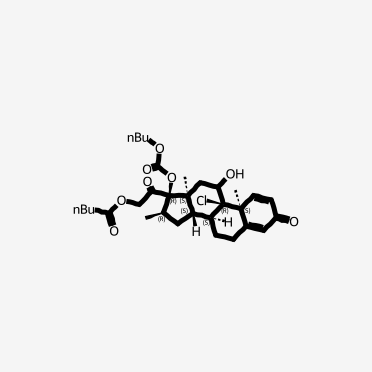 CCCCOC(=O)O[C@]1(C(=O)COC(=O)CCCC)[C@H](C)C[C@H]2[C@@H]3CCC4=CC(=O)C=C[C@]4(C)[C@@]3(Cl)C(O)C[C@@]21C